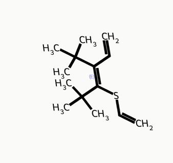 C=CS/C(=C(\C=C)C(C)(C)C)C(C)(C)C